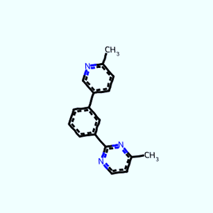 Cc1ccc(-c2cccc(-c3nccc(C)n3)c2)cn1